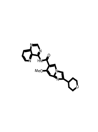 COc1cc2nc(C3CCOCC3)cn2cc1C(=O)Nc1ncnc2cccnc12